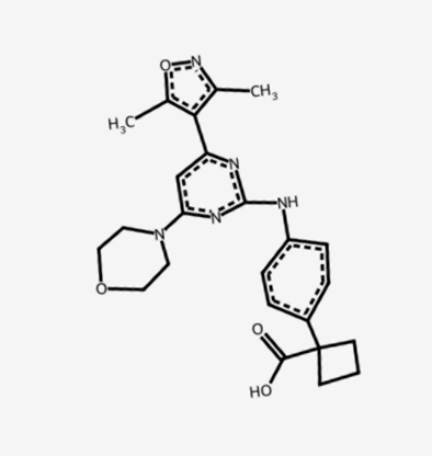 Cc1noc(C)c1-c1cc(N2CCOCC2)nc(Nc2ccc(C3(C(=O)O)CCC3)cc2)n1